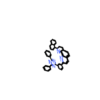 c1ccc(-c2nc(-c3ccccc3)nc(-c3cccc(-c4ccc5ccc6ccc(-c7cccc8ccccc78)nc6c5n4)c3)n2)cc1